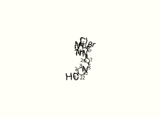 OC1CCN(CC2CC(n3cc(Br)c4c(Cl)ncnc43)C2)CC1